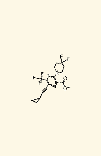 COC(=O)c1cc(C#CC2CC2)c(C(F)(F)F)nc1N1CCC(F)(F)CC1